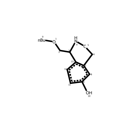 CCCCOCC1NCCc2cc(O)ccc21